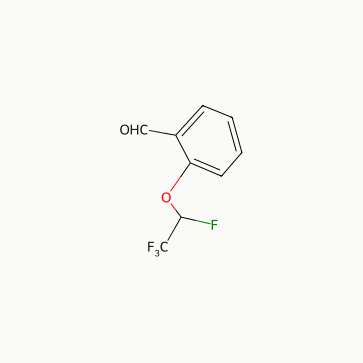 O=Cc1ccccc1OC(F)C(F)(F)F